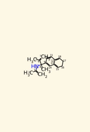 C=C(C)NC(C)(C(=C)C)c1ccc2c(c1)=CCCC=2